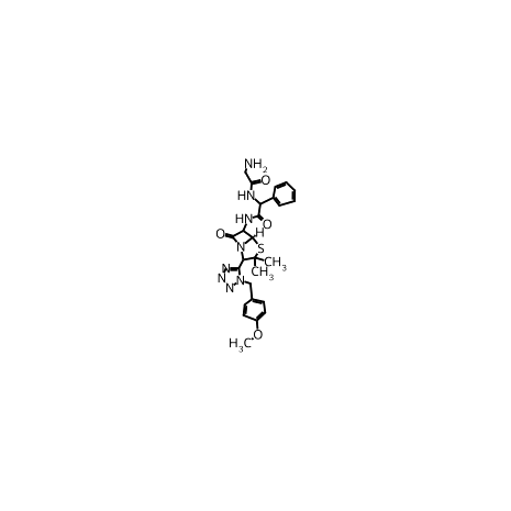 COc1ccc(Cn2nnnc2C2N3C(=O)C(NC(=O)C(NC(=O)CN)c4ccccc4)[C@@H]3SC2(C)C)cc1